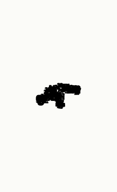 O=C(c1cc(Cc2ccc(N3CCN(c4ccncc4)CC3)cc2)nc2ccc(-c3ccc4c(c3)OCO4)cc12)N1CCCC1CN1CCCC1